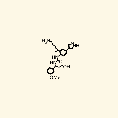 COc1cccc(C(CCO)NC(=O)Nc2ccc(-c3cn[nH]c3)cc2OCCCN)c1